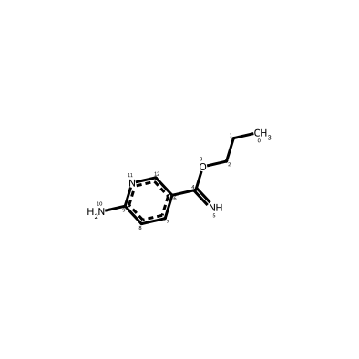 CCCOC(=N)c1ccc(N)nc1